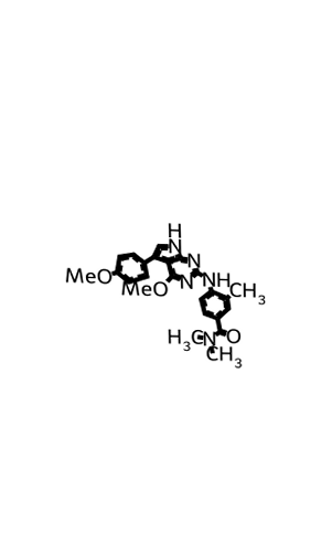 COc1ccc(-c2c[nH]c3nc(Nc4ccc(C(=O)N(C)C)cc4C)nc(OC)c23)cc1